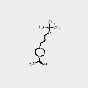 CC(C)(C)OCCCN1CCN(C(=N)N)CC1